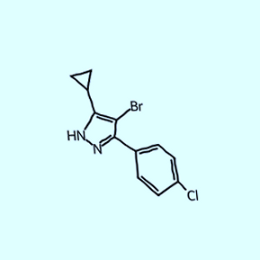 Clc1ccc(-c2n[nH]c(C3CC3)c2Br)cc1